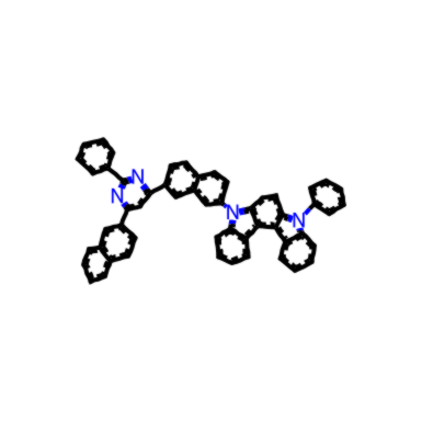 c1ccc(-c2nc(-c3ccc4ccccc4c3)cc(-c3ccc4ccc(-n5c6ccccc6c6c7c8ccccc8n(-c8ccccc8)c7ccc65)cc4c3)n2)cc1